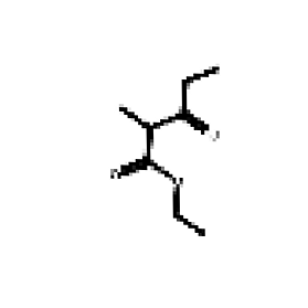 CCOC(=O)C(C)C(=O)CC